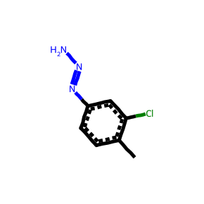 Cc1ccc(N=NN)cc1Cl